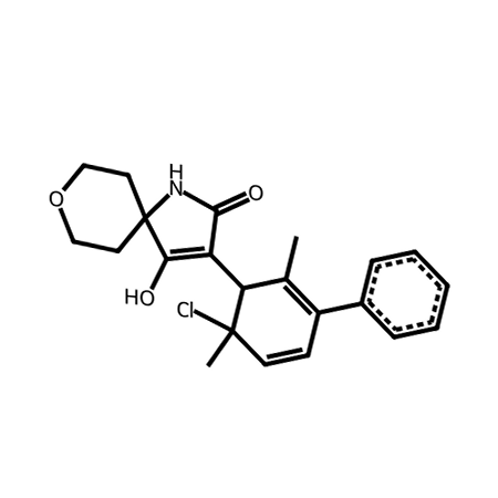 CC1=C(c2ccccc2)C=CC(C)(Cl)C1C1=C(O)C2(CCOCC2)NC1=O